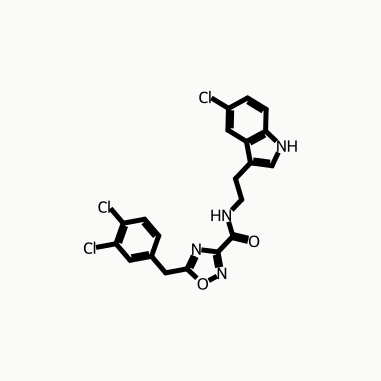 O=C(NCCc1c[nH]c2ccc(Cl)cc12)c1noc(Cc2ccc(Cl)c(Cl)c2)n1